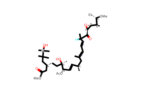 CC[C@H](OC)[C@@H](C)[C@H]1O[C@@H]1C(=O)C(C)(F)/C=C/C=C(\C)C[C@@H](C)/C=C/[C@H](OC(C)=O)[C@](C)(O)CC[C@H](CC(=O)OC)CC(C)(C)[Si](C)(C)O